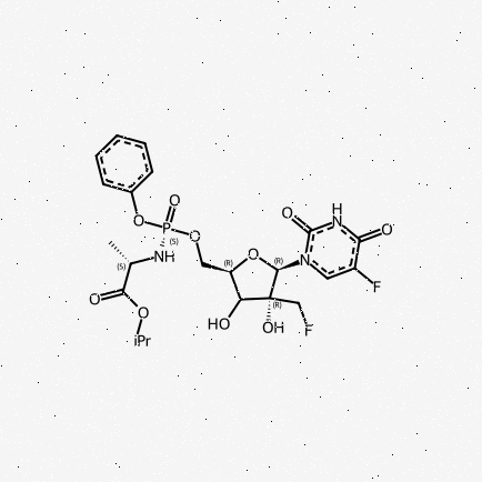 CC(C)OC(=O)[C@H](C)N[P@](=O)(OC[C@H]1O[C@@H](n2cc(F)c(=O)[nH]c2=O)[C@@](O)(CF)C1O)Oc1ccccc1